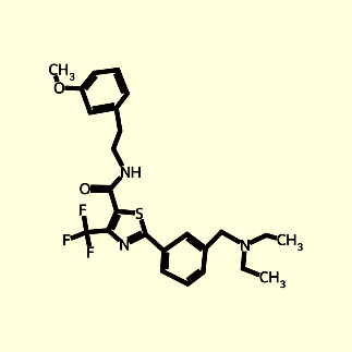 CCN(CC)Cc1cccc(-c2nc(C(F)(F)F)c(C(=O)NCCc3cccc(OC)c3)s2)c1